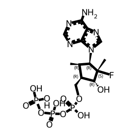 C[C@@H]1[C@H](COP(=O)(O)OP(=O)(O)OP(=O)(O)O)[C@@H](O)[C@@](C)(F)[C@@H]1n1cnc2c(N)ncnc21